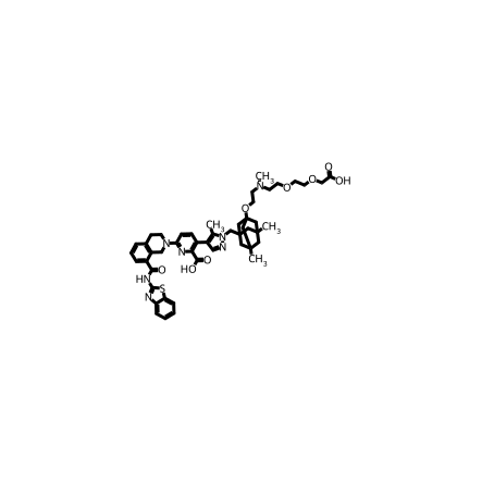 Cc1c(-c2ccc(N3CCc4cccc(C(=O)Nc5nc6ccccc6s5)c4C3)nc2C(=O)O)cnn1CC12CC3(C)CC(C)(C1)CC(OCCN(C)CCOCCOCC(=O)O)(C3)C2